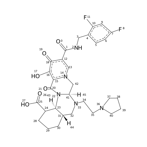 O=C(NCc1ccc(F)cc1F)c1cn2c(c(O)c1=O)C(=O)N1[C@@H]3C(C(=O)O)CCC[C@H]3CN(CCN3CCCC3)[C@@H]1C2